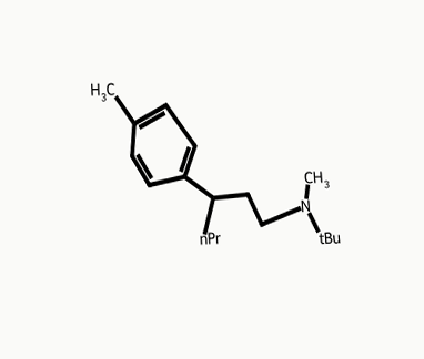 CCCC(CCN(C)C(C)(C)C)c1ccc(C)cc1